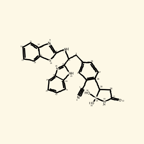 N#Cc1cc(CC(Nc2nc3ccccc3s2)c2nc3ccccc3[nH]2)ccc1C1CC(=O)NS1(O)O